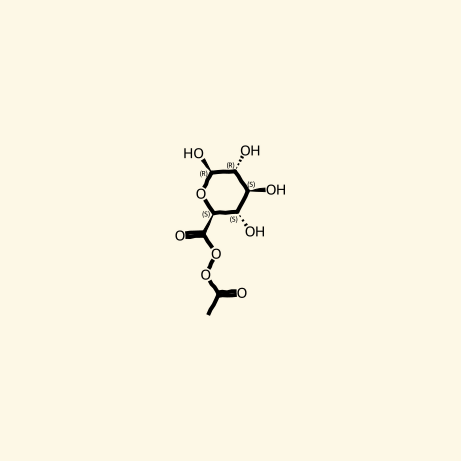 CC(=O)OOC(=O)[C@H]1O[C@@H](O)[C@H](O)[C@@H](O)[C@@H]1O